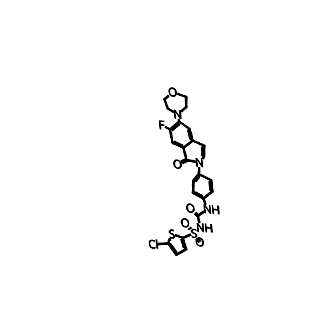 O=C(Nc1ccc(-n2ccc3cc(N4CCOCC4)c(F)cc3c2=O)cc1)NS(=O)(=O)c1ccc(Cl)s1